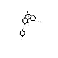 COC1=C2O[C@H]3C(=NNc4ccc([N+](=O)[O-])cc4)C=C[C@H]4[C@H]5CC(C=C1)C2[C@@]34CCN5C